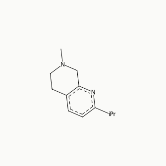 CC(C)c1ccc2c(n1)CN(C)CC2